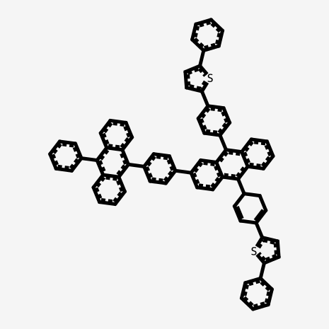 C1=CC(c2c3ccccc3c(-c3ccc(-c4ccc(-c5ccccc5)s4)cc3)c3cc(-c4ccc(-c5c6ccccc6c(-c6ccccc6)c6ccccc56)cc4)ccc23)CC=C1c1ccc(-c2ccccc2)s1